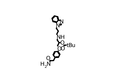 CC(C)(C)C(=O)OC(CNCCCn1cnc2ccccc21)COc1ccc(CC(N)=O)cc1